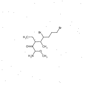 CCC(C(=O)C(N)OC)C(C)C(Br)CCCBr